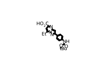 CCc1cc(C(=O)O)nc2cc(-c3ccc(NC(=O)OC(C)(C)C)cc3)nn12